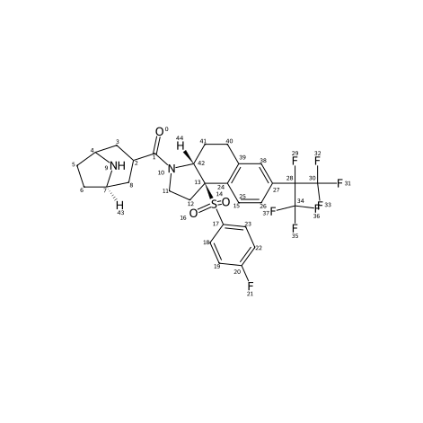 O=C(C1CC2CC[C@H](C1)N2)N1CC[C@@]2(S(=O)(=O)c3ccc(F)cc3)c3ccc(C(F)(C(F)(F)F)C(F)(F)F)cc3CC[C@@H]12